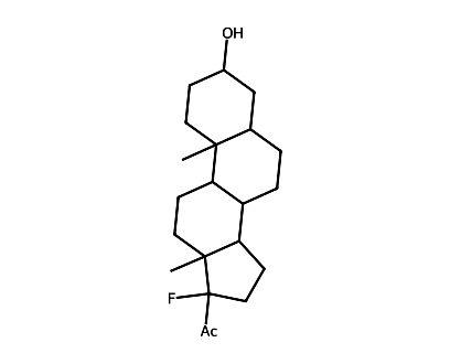 CC(=O)C1(F)CCC2C3CCC4CC(O)CCC4(C)C3CCC21C